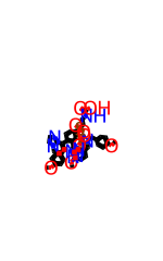 COc1ccc(CN(Cc2ccc(OC)cc2)S(=O)(=O)c2c(S(=O)(=O)CCNC(=O)O)ccc(-c3cccn4ccnc34)c2-c2nnnn2Cc2ccc(OC)cc2)cc1